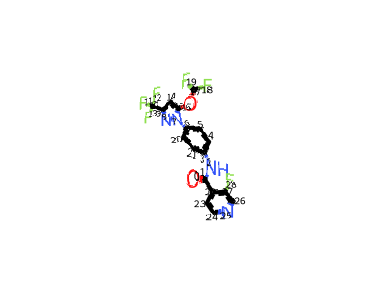 O=C(Nc1ccc(-n2nc(C(F)(F)F)cc2OC(F)F)cc1)c1ccncc1F